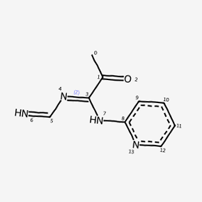 CC(=O)/C(=N/C=N)Nc1ccccn1